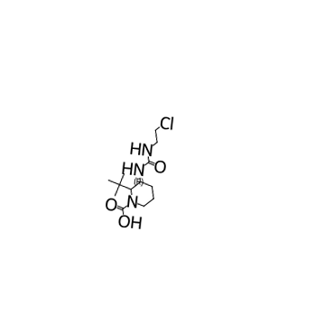 CC(C)(C)C1[C@H](NC(=O)NCCCl)CCCN1C(=O)O